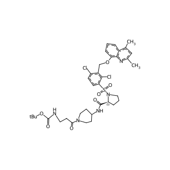 Cc1cc(C)c2cccc(OCc3c(Cl)ccc(S(=O)(=O)N4CCC[C@H]4C(=O)NC4CCN(C(=O)CCNC(=O)OC(C)(C)C)CC4)c3Cl)c2n1